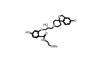 COCCNC(=O)c1ccc(O)cc1OC[C@H](O)CN1CCC2(CC1)OCc1cc(Cl)ccc12